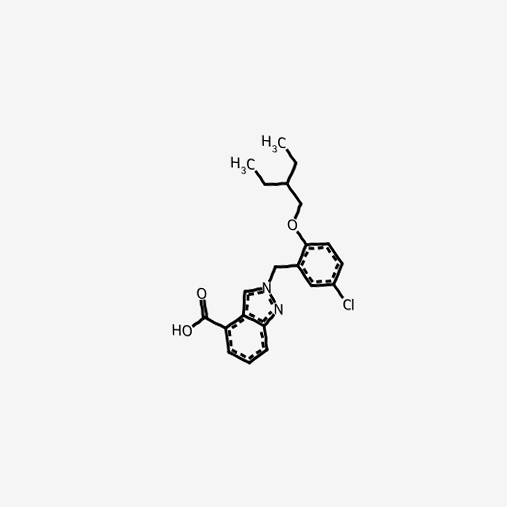 CCC(CC)COc1ccc(Cl)cc1Cn1cc2c(C(=O)O)cccc2n1